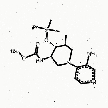 CC(C)[Si](C)(C)O[C@@H]1[C@@H](C)CN(c2ccncc2N)C[C@H]1NC(=O)OC(C)(C)C